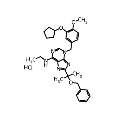 CCNc1ncn(Cc2ccc(OC)c(OC3CCCC3)c2)c2nc(C(C)(C)OCc3ccccc3)nc1-2.Cl